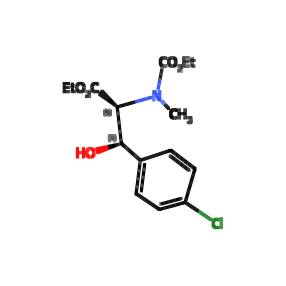 CCOC(=O)[C@H]([C@H](O)c1ccc(Cl)cc1)N(C)C(=O)OCC